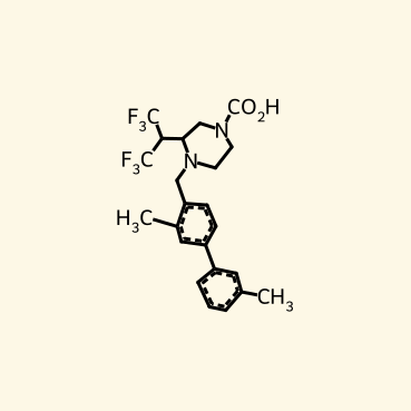 Cc1cccc(-c2ccc(CN3CCN(C(=O)O)CC3C(C(F)(F)F)C(F)(F)F)c(C)c2)c1